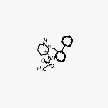 CS(=O)(=O)N[C@@H]1CCCN[C@@H]1Cc1ccccc1-c1ccccc1